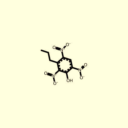 CCCc1c([N+](=O)[O-])cc([N+](=O)[O-])c(O)c1[N+](=O)[O-]